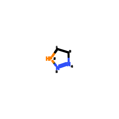 C1CPN=N1